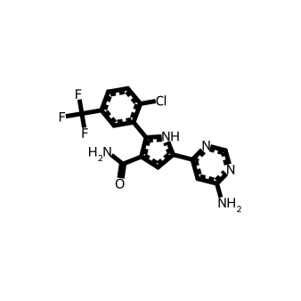 NC(=O)c1cc(-c2cc(N)ncn2)[nH]c1-c1cc(C(F)(F)F)ccc1Cl